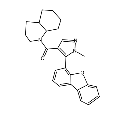 Cn1ncc(C(=O)N2CCCC3CCCCC32)c1-c1cccc2c1oc1ccccc12